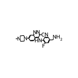 CN1CCN(c2ccc3c(Nc4ccc(CN)cc4F)c(C#N)nnc3c2)CC1